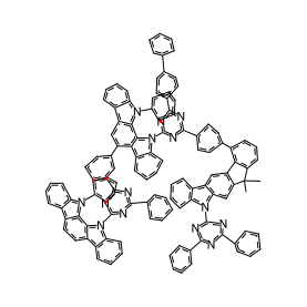 CC1(C)c2cc3c(cc2-c2c(-c4ccc(-c5nc(-c6ccc(-c7ccccc7)cc6)nc(-n6c7ccccc7c7c(-c8cccc(-c9nc(-c%10ccccc%10)nc(-n%10c%11ccccc%11c%11ccc%12c%13ccccc%13n(-c%13ccccc%13)c%12c%11%10)n9)c8)cc8c9ccccc9n(-c9ccccc9)c8c76)n5)cc4)cccc21)c1ccccc1n3-c1nc(-c2ccccc2)nc(-c2ccccc2)n1